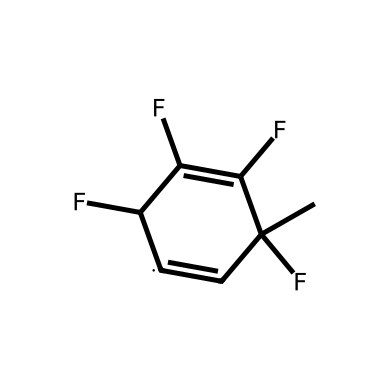 CC1(F)C=[C]C(F)C(F)=C1F